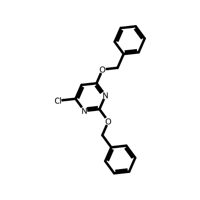 Clc1cc(OCc2ccccc2)nc(OCc2ccccc2)n1